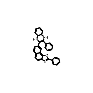 C1=CC2NC(c3ccccc3)=C(c3ccc4ccc5nc(-c6ccccc6)oc5c4c3)NC2C=C1